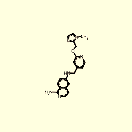 Cn1ccnc1COc1cc(CNc2ccc3c(N)nccc3c2)ccn1